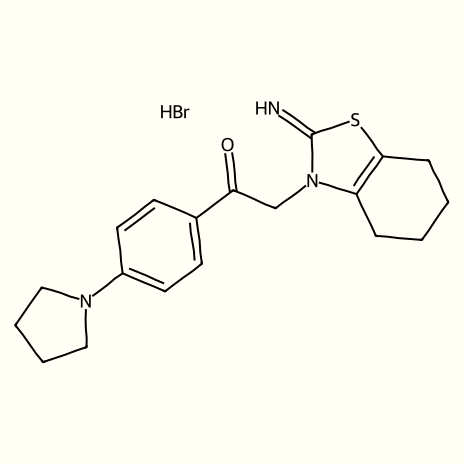 Br.N=c1sc2c(n1CC(=O)c1ccc(N3CCCC3)cc1)CCCC2